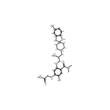 CN(C)C(=O)c1cc(Cl)c(OCC(=O)O)cc1OC[C@@H](O)CN1CCC2(CC1)Cc1cc(Cl)ccc1O2